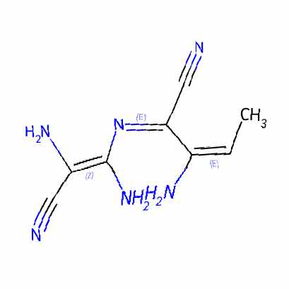 C\C=C(N)/C(C#N)=N\C(N)=C(/N)C#N